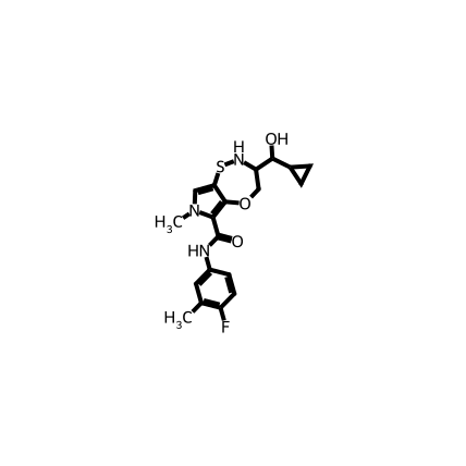 Cc1cc(NC(=O)c2c3c(cn2C)SNC(C(O)C2CC2)CO3)ccc1F